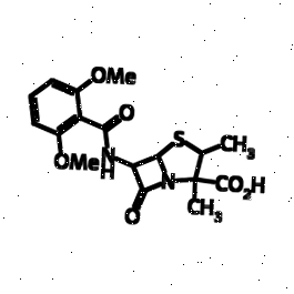 COc1cccc(OC)c1C(=O)NC1C(=O)N2C1SC(C)C2(C)C(=O)O